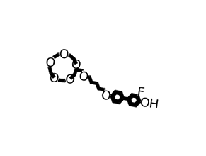 Oc1ccc(-c2ccc(OCCCCCOCC3COCCOCCOCCOCCO3)cc2)cc1F